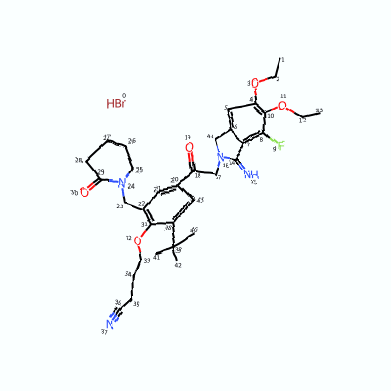 Br.CCOc1cc2c(c(F)c1OCC)C(=N)N(CC(=O)c1cc(CN3CCCCC3=O)c(OCCCC#N)c(C(C)(C)C)c1)C2